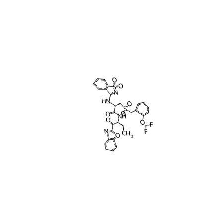 CC[C@H](NC(=O)[C@H](CS(=O)(=O)Cc1ccccc1OC(F)F)NC1=NS(=O)(=O)c2ccccc21)C(=O)c1nc2ccccc2o1